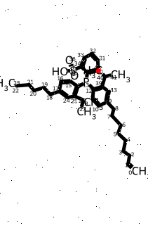 C=CCCCCCCCc1ccc(P(c2ccc(CCCCCC)cc2C(C)C)c2ccccc2S(=O)(=O)O)c(C(C)C)c1